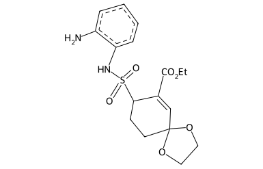 CCOC(=O)C1=CC2(CCC1S(=O)(=O)Nc1ccccc1N)OCCO2